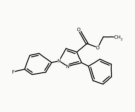 CCOC(=O)c1cn(-c2ccc(F)cc2)nc1-c1ccccc1